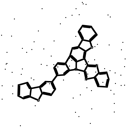 c1ccc2nc3c(nc2c1)c1c2oc4ccccc4c2cc2c4ccc(-c5ccc6oc7ccccc7c6c5)cc4n3c21